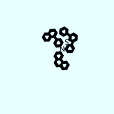 c1ccc(-c2cccc3c2sc2c(N(c4ccc(-c5cccc6ccccc56)cc4)c4ccc5ccc6ccccc6c5c4)cccc23)cc1